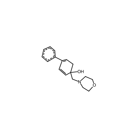 OC1(CN2CCOCC2)C=CC(c2ccccc2)=CC1